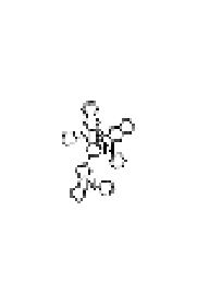 c1ccc(N2c3cc4ccccc4cc3B3c4cc5ccccc5cc4N(c4ccccc4)c4cc(-c5ccc6c7ccccc7n(-c7ccccc7)c6c5)cc2c43)cc1